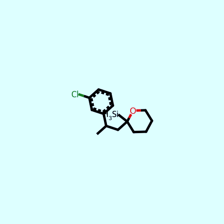 CC(CC1([SiH3])CCCCO1)c1cccc(Cl)c1